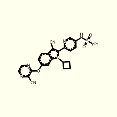 CCCS(=O)(=O)Nc1ccc(-c2c(C#N)c3ccc(Oc4nccnc4C#N)cc3n2C2CCC2)nc1